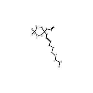 C=CCC1(CC=CCCCCCCC)COC(C)(C)OC1